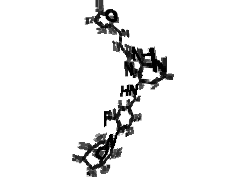 Fc1cc(CNc2ccnc3[nH]c(CCc4ccco4)nc23)ccc1N1CC2CCC(C1)O2